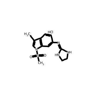 Cc1cn(S(C)(=O)=O)c2cc(N=C3NCCN3)ccc12.Cl